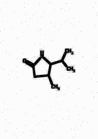 CC(C)C1NC(=O)CC1C